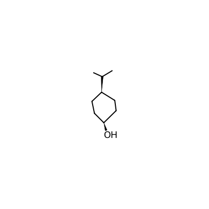 CC(C)[C@H]1CC[C@@H](O)CC1